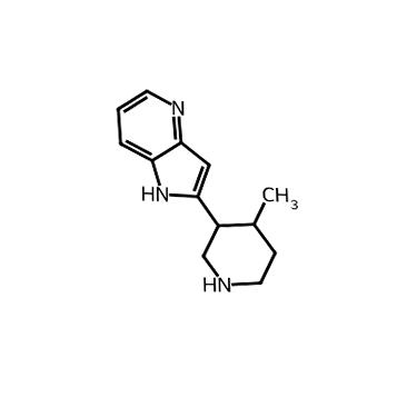 CC1CCNCC1c1cc2ncccc2[nH]1